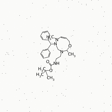 CC1OC/C=C\N(C)N(C(c2ccccc2)c2ccccc2)CN1CCNC(=O)OC(C)(C)C